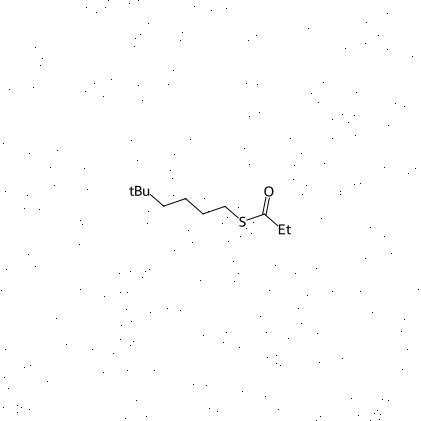 CCC(=O)SCCCCC(C)(C)C